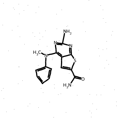 CN(c1ccccc1)c1nc(N)nc2sc(C(N)=O)cc12